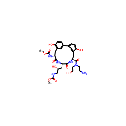 CC(C)(C)OC(=O)NC[C@H](O)C[C@@H]1NC(=O)[C@@H](NC(=O)OC(C)(C)C)Cc2cc(ccc2O)-c2ccc(O)c(c2)C[C@@H](C(=O)N(CCN)CCO)NC1=O